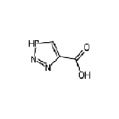 O=C(O)c1c[pH]nn1